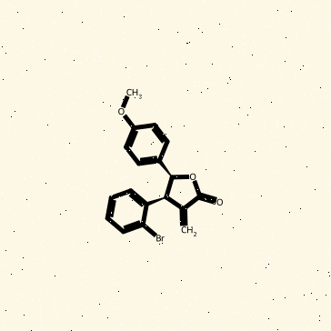 C=C1C(=O)O[C@H](c2ccc(OC)cc2)[C@@H]1c1ccccc1Br